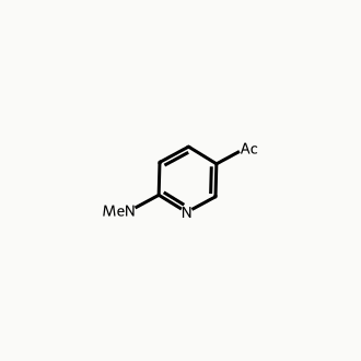 CNc1ccc(C(C)=O)cn1